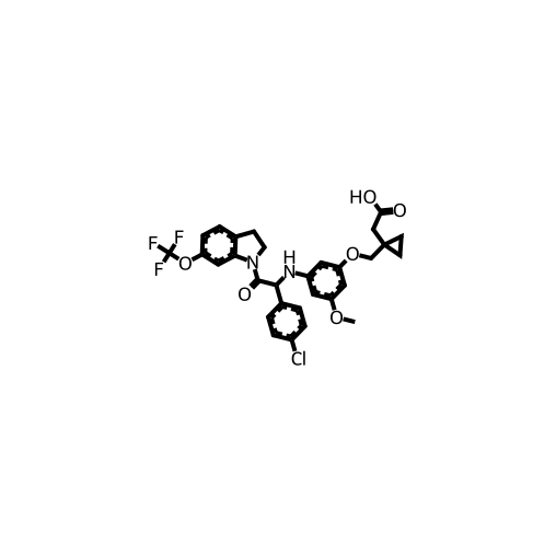 COc1cc(NC(C(=O)N2CCc3ccc(OC(F)(F)F)cc32)c2ccc(Cl)cc2)cc(OCC2(CC(=O)O)CC2)c1